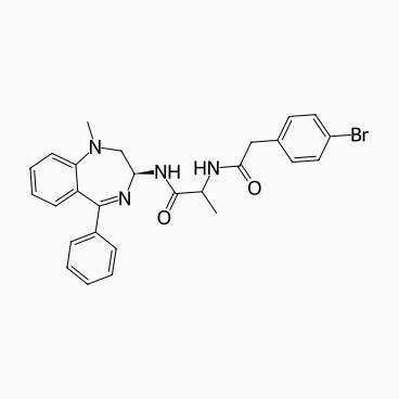 CC(NC(=O)Cc1ccc(Br)cc1)C(=O)N[C@@H]1CN(C)c2ccccc2C(c2ccccc2)=N1